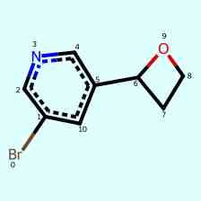 Brc1cncc(C2CCO2)c1